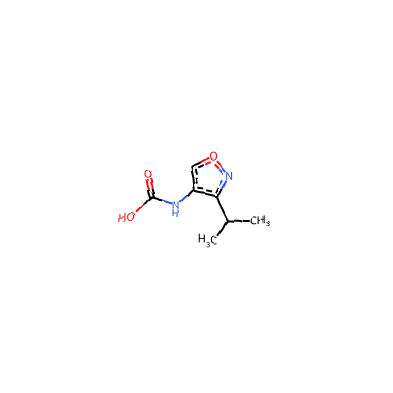 CC(C)c1nocc1NC(=O)O